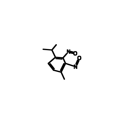 Cc1ccc(C(C)C)c(N=O)c1N=O